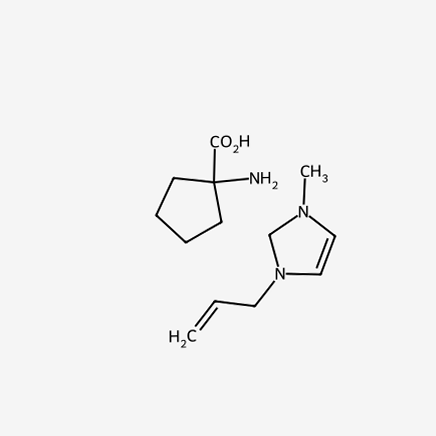 C=CCN1C=CN(C)C1.NC1(C(=O)O)CCCC1